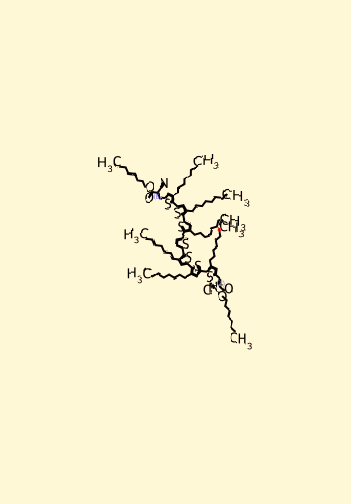 [C-]#[N+]/C(=C\c1cc(CCCCCCCC)c(-c2cc(CCCCCCCC)c(-c3cc(CCCCCCCC)c(-c4ccc(-c5sc(-c6sc(-c7sc(/C=C(\C#N)C(=O)OCCCCCCCC)cc7CCCCCCCC)cc6CCCCCCCC)cc5CCCCCCCC)s4)s3)s2)s1)C(=O)OCCCCCCCC